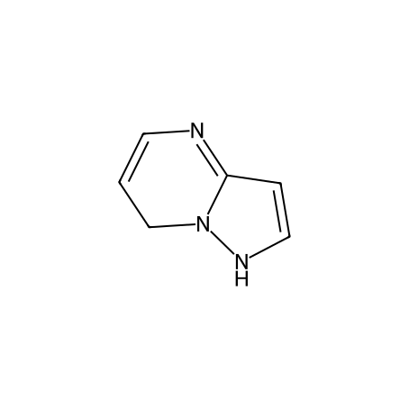 C1=CN=C2C=CNN2C1